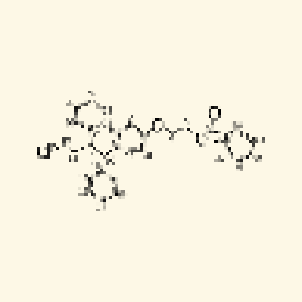 O=C(OCCOc1ccc(C(c2ccccc2)C(CCCl)c2ccccc2)cc1)c1ccccc1